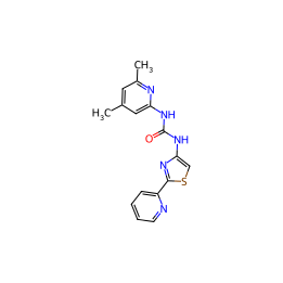 Cc1cc(C)nc(NC(=O)Nc2csc(-c3ccccn3)n2)c1